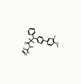 COc1ccc(-c2ccc(C(c3ccccc3)C(C)(C)C(=O)Nc3nncs3)cc2)cc1F